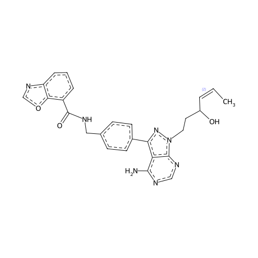 C/C=C\C(O)CCn1nc(-c2ccc(CNC(=O)c3cccc4ncoc34)cc2)c2c(N)ncnc21